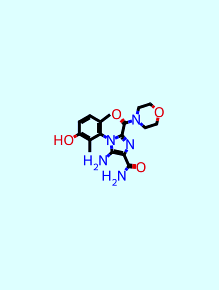 Cc1ccc(O)c(C)c1-n1c(C(=O)N2CCOCC2)nc(C(N)=O)c1N